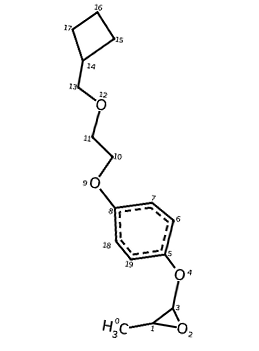 CC1OC1Oc1ccc(OCCOCC2CCC2)cc1